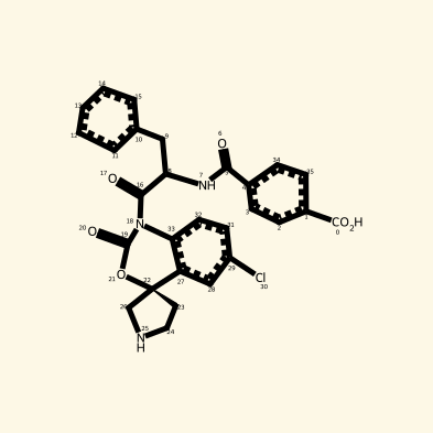 O=C(O)c1ccc(C(=O)NC(Cc2ccccc2)C(=O)N2C(=O)O[C@]3(CCNC3)c3cc(Cl)ccc32)cc1